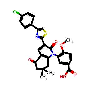 COc1ccc(C(=O)O)cc1-n1c2c(cc(-c3nc(-c4ccc(Cl)cc4)cs3)c1=O)C(=O)CC(C)(C)C2